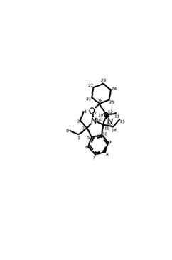 CCC1(CC)c2ccccc2C(CC)(CC)N1OC1(C#N)CCCCC1